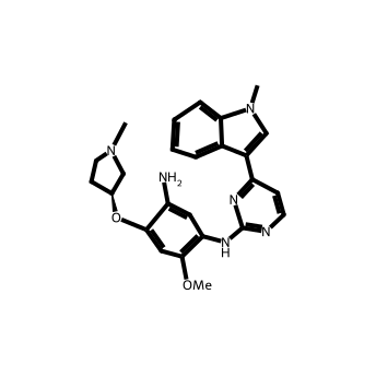 COc1cc(O[C@H]2CCN(C)C2)c(N)cc1Nc1nccc(-c2cn(C)c3ccccc23)n1